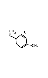 C=Cc1ccc(C)cc1.[C]